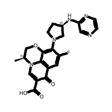 C[C@H]1COc2c(N3CC[C@@H](Nc4cnccn4)C3)c(F)cc3c(=O)c(C(=O)O)cn1c23